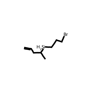 C=CCC(C)[SiH2]CCCBr